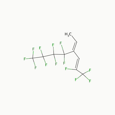 CC=C(C=C(F)C(F)(F)F)C(F)(F)C(F)(F)C(F)(F)C(F)(F)F